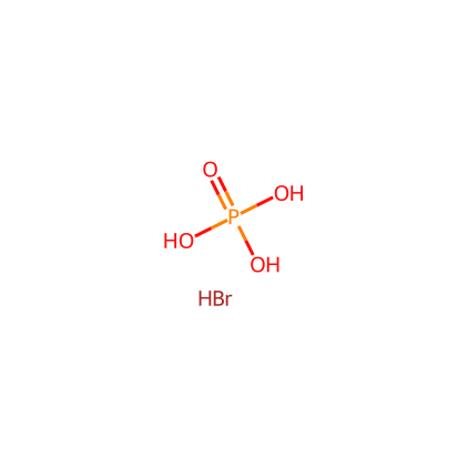 Br.O=P(O)(O)O